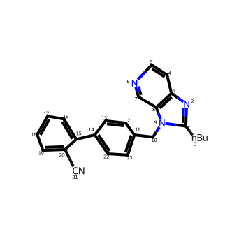 CCCCc1nc2ccncc2n1Cc1ccc(-c2ccccc2C#N)cc1